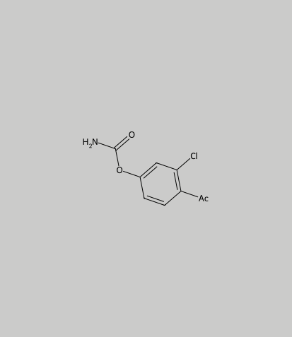 CC(=O)c1ccc(OC(N)=O)cc1Cl